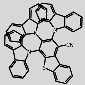 N#Cc1c(-n2c3ccccc3c3ccccc32)c(-n2c3ccccc3c3ccccc32)c(-n2c3ccccc3c3ccccc32)c2sc3ccccc3c12